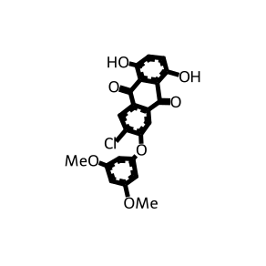 COc1cc(OC)cc(Oc2cc3c(cc2Cl)C(=O)c2c(O)ccc(O)c2C3=O)c1